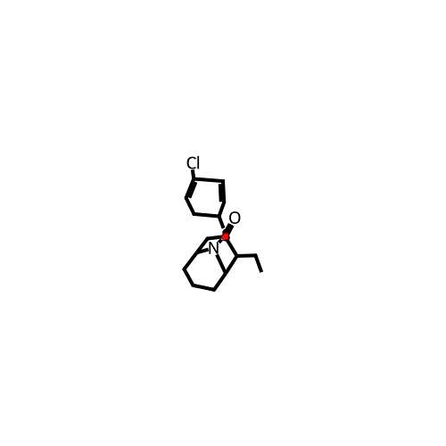 CCC1C(=O)CC2CCCC1N2SC1C=CC(Cl)=CC1